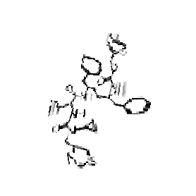 CC(C)[C@H](NC(=O)N(CC1CSC=N1)C1CC1)C(=O)N[C@H](CC[C@H](Cc1ccccc1)NC(=O)OCc1cncs1)Cc1ccccc1